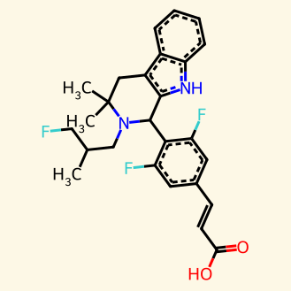 CC(CF)CN1C(c2c(F)cc(C=CC(=O)O)cc2F)c2[nH]c3ccccc3c2CC1(C)C